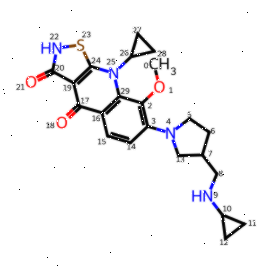 COc1c(N2CCC(CNC3CC3)C2)ccc2c(=O)c3c(=O)[nH]sc3n(C3CC3)c12